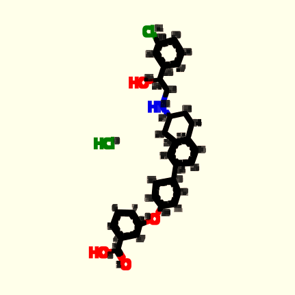 Cl.O=C(O)c1cccc(Oc2ccc(-c3ccc4c(c3)C[C@@H](NC[C@@H](O)c3cccc(Cl)c3)CC4)cc2)c1